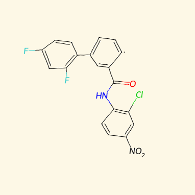 O=C(Nc1ccc([N+](=O)[O-])cc1Cl)c1[c]ccc(-c2ccc(F)cc2F)c1